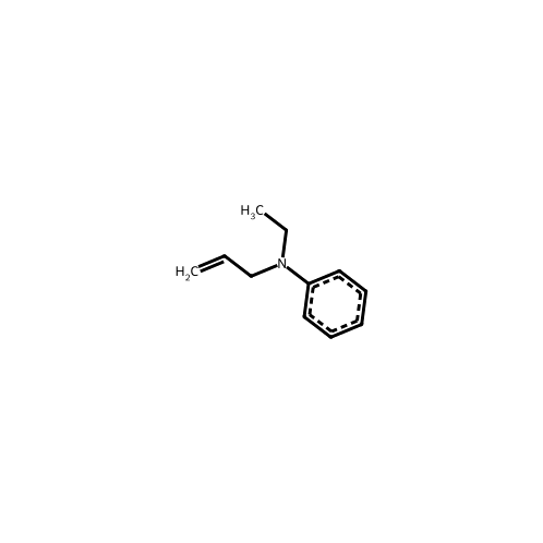 C=CCN(CC)c1ccccc1